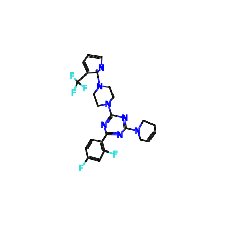 Fc1ccc(-c2nc(N3CC=CCC3)nc(N3CCN(c4ncccc4C(F)(F)F)CC3)n2)c(F)c1